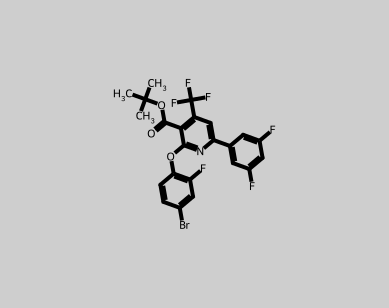 CC(C)(C)OC(=O)c1c(C(F)(F)F)cc(-c2cc(F)cc(F)c2)nc1Oc1ccc(Br)cc1F